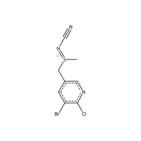 C/S(Cc1cnc(Cl)c(Br)c1)=N\C#N